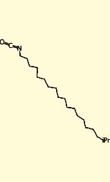 CC(C)CCCCCCCCCCCCCCCCCN=C=O